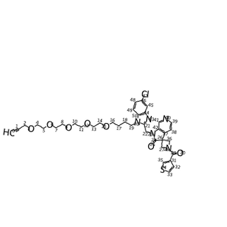 C#CCOCCOCCOCCOCCOCCCCn1c(CN2C(=O)C3(CN(C(=O)c4ccsc4)C3)c3ccncc32)nc2cc(Cl)ccc21